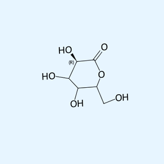 O=C1OC(CO)C(O)C(O)[C@H]1O